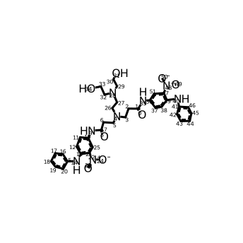 O=C(CCN(CCC(=O)Nc1ccc(Nc2ccccc2)c([N+](=O)[O-])c1)CCN(CCO)CCO)Nc1ccc(Nc2ccccc2)c([N+](=O)[O-])c1